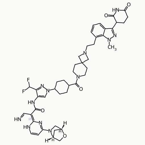 Cn1nc(C2CCC(=O)NC2=O)c2cccc(CCN3CC4(CCN(C(=O)C5CCC(n6cc(NC(=O)/C(C=N)=C7\N=C(N8C[C@H]9C[C@@H]8CO9)C=CN7)c(C(F)F)n6)CC5)CC4)C3)c21